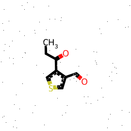 CCC(=O)c1cscc1C=O